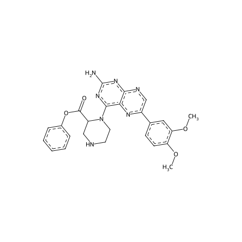 COc1ccc(-c2cnc3nc(N)nc(N4CCNCC4C(=O)Oc4ccccc4)c3n2)cc1OC